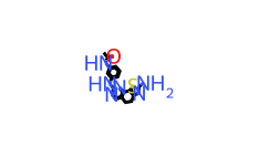 CC(=O)Nc1cccc(Nc2ncc3c(n2)-c2sc(N)nc2CC3)c1